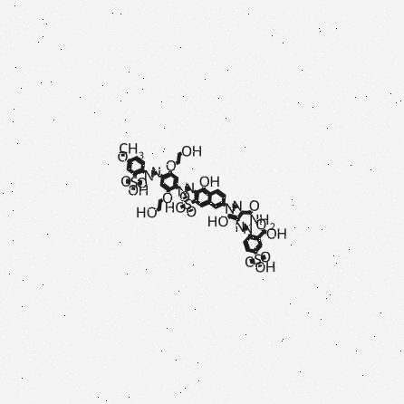 COc1ccc(/N=N/c2cc(OCCO)c(/N=N/c3c(S(=O)(=O)O)cc4cc(-n5nc(C(N)=O)c(/N=N/c6ccc(S(=O)(=O)O)cc6C(=O)O)c5O)ccc4c3O)cc2OCCO)c(S(=O)(=O)O)c1